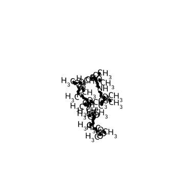 CCO[Si](CCCN(C)CCC[Si](OCC)(OCC)OCC)(OCC)OCC.CCO[Si](CCCNCCC[Si](OCC)(OCC)OCC)(OCC)OCC.CO[Si](CCCN(C)CCC[Si](OC)(OC)OC)(OC)OC